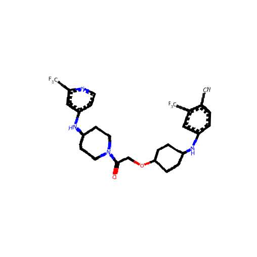 N#Cc1ccc(NC2CCC(OCC(=O)N3CCC(Nc4ccnc(C(F)(F)F)c4)CC3)CC2)cc1C(F)(F)F